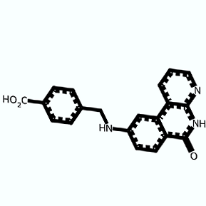 O=C(O)c1ccc(CNc2ccc3c(=O)[nH]c4ncccc4c3c2)cc1